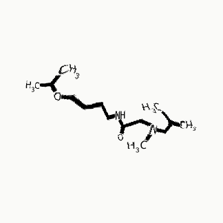 CC(C)CN(C)CC(=O)NCCCCOC(C)C